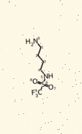 NCCCCNS(=O)(=O)C(F)(F)F